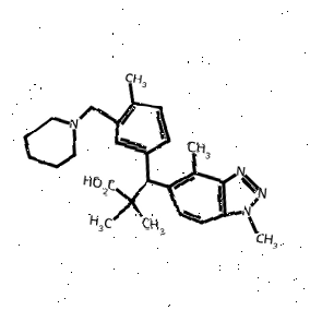 Cc1ccc([C@@H](c2ccc3c(nnn3C)c2C)C(C)(C)C(=O)O)cc1CN1CCCCC1